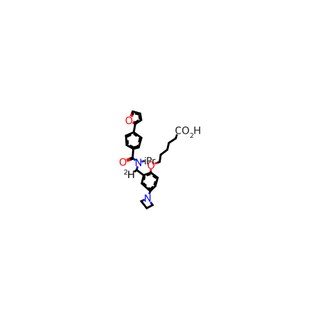 [2H]C(c1cc(N2CCC2)ccc1OCCCCCC(=O)O)N(C(=O)c1ccc(-c2ccco2)cc1)C(C)C